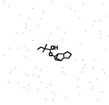 CCC(C)(C)[C@H](O)OC1CC2CC1C1CCCC21